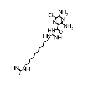 CC(=N)NCCCCCCCCCCNC(=N)NC(=O)c1nc(Cl)c(N)nc1N